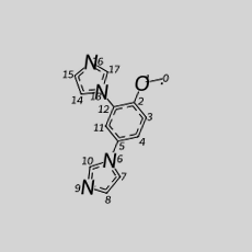 [CH2]Oc1ccc(-n2ccnc2)cc1-n1ccnc1